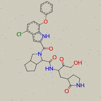 O=C1NCCC1CC(NC(=O)C1C2CCCC2CN1C(=O)c1cc2c(Cl)ccc(Oc3ccccc3)c2[nH]1)C(=O)CO